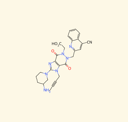 CC#CCn1c(N2CCCC(N)C2)nc2c(=O)n(CC(=O)O)n(Cc3cc(C#N)c4ccccc4n3)c(=O)c21